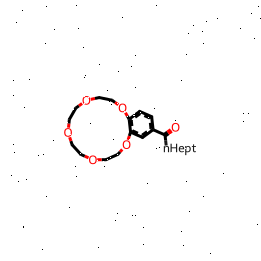 CCCCCCCC(=O)c1ccc2c(c1)OCCOCCOCCOCCO2